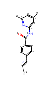 CCC/C=C/c1ccc(C(=O)Nc2cc(C)cc(C)n2)cc1